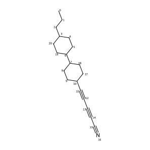 CCCC1CCC(C2CCC(C#CC#CC#N)CC2)CC1